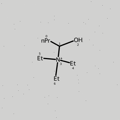 CCCC(O)[N+](CC)(CC)CC